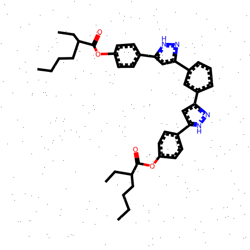 CCCCC(CC)C(=O)Oc1ccc(-c2cc(-c3cccc(-c4cc(-c5ccc(OC(=O)C(CC)CCCC)cc5)[nH]n4)c3)n[nH]2)cc1